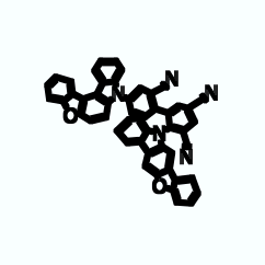 N#Cc1cc(C#N)c(-n2c3ccccc3c3cc4oc5ccccc5c4cc32)c(-c2ccc(-n3c4ccccc4c4c5c(ccc43)oc3ccccc35)cc2C#N)c1